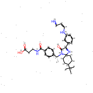 C[C@H](c1ccc(C(=O)NCCC(=O)O)cc1)N1C(=O)C(c2cccc(N/C=C\C=N)c2)=NC12CCC(C(C)(C)C)CC2